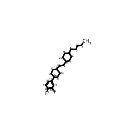 CCCCCC1CCC(CCC2CCC(c3ccc(F)c(F)c3)CC2)CC1